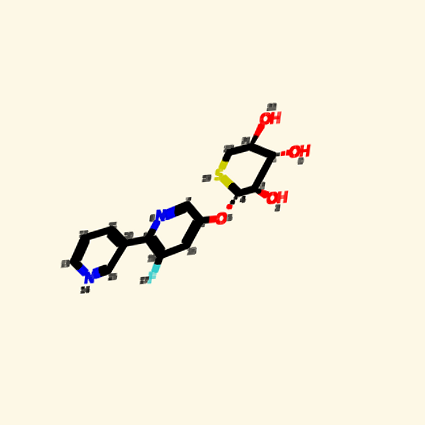 O[C@@H]1[C@@H](O)[C@H](Oc2cnc(-c3cccnc3)c(F)c2)SC[C@H]1O